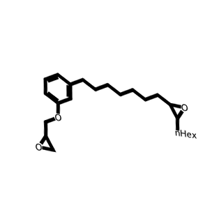 CCCCCCC1OC1CCCCCCCc1cccc(OCC2CO2)c1